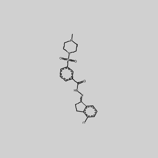 CN1CCN(S(=O)(=O)c2cccc(C(=O)N/N=C3\CCc4c(Cl)cccc43)c2)CC1